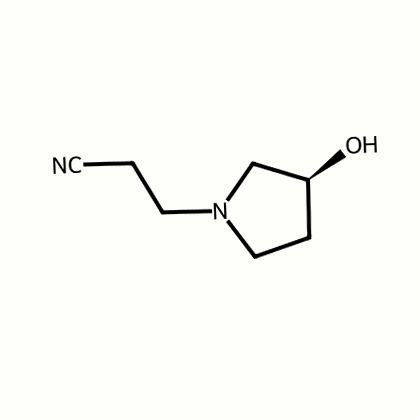 N#CCCN1CC[C@H](O)C1